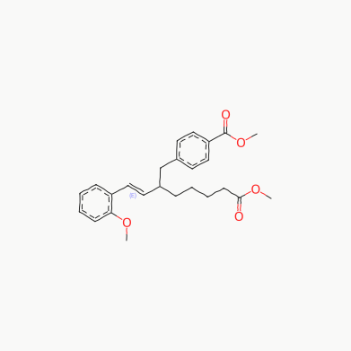 COC(=O)CCCCC(/C=C/c1ccccc1OC)Cc1ccc(C(=O)OC)cc1